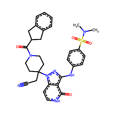 CN(C)S(=O)(=O)c1ccc(Nc2nn(C3(CC#N)CCN(C(=O)C4Cc5ccccc5C4)CC3)c3cc[nH]c(=O)c23)cc1